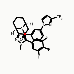 Cn1nc2c(c1-c1cc(F)c(F)c(F)c1)C[C@@H]1CCC[C@H]2N1C(=O)c1cccc(-n2ccc(C(F)(F)F)n2)c1